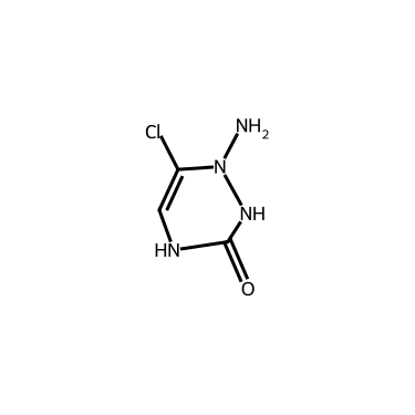 NN1NC(=O)NC=C1Cl